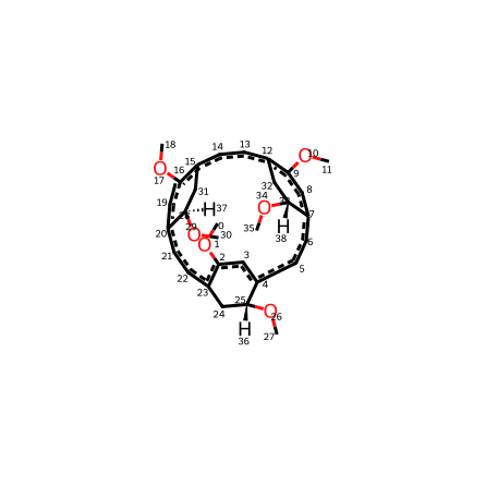 COc1cc2ccc3cc(OC)c(ccc4c(OC)cc(ccc1C[C@H]2OC)[C@H](OC)C4)C[C@H]3OC